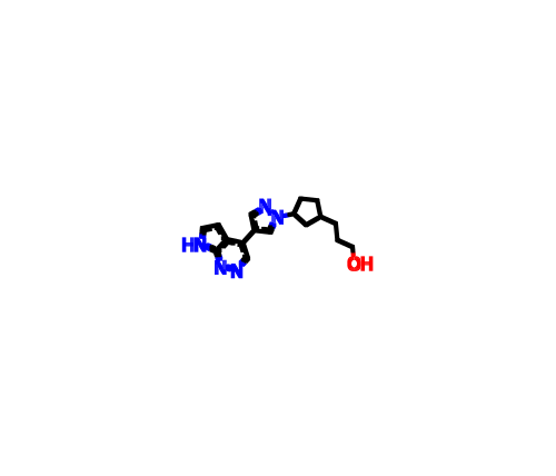 OCCCC1CCC(n2cc(-c3cnnc4[nH]ccc34)cn2)C1